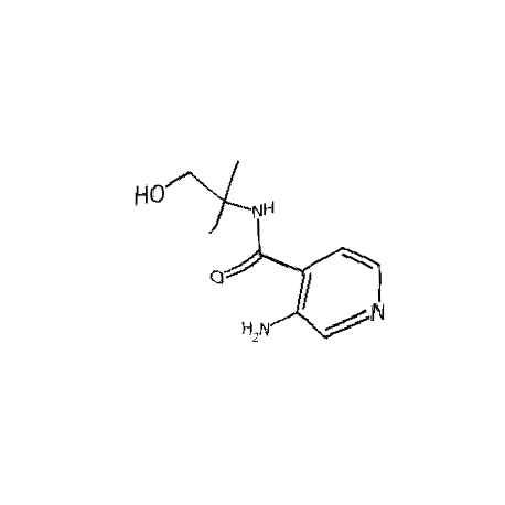 CC(C)(CO)NC(=O)c1ccncc1N